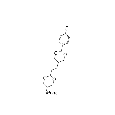 CCCCCC1COC(CCC2COC(c3ccc(F)cc3)OC2)OC1